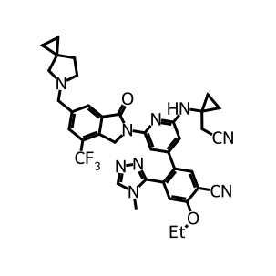 CCOc1cc(-c2nncn2C)c(-c2cc(NC3(CC#N)CC3)nc(N3Cc4c(cc(CN5CCC6(CC6)C5)cc4C(F)(F)F)C3=O)c2)cc1C#N